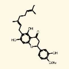 COc1ccc(C2CC(=O)c3c(cc(O)c(C/C=C(\C)CCC=C(C)C)c3O)O2)cc1O